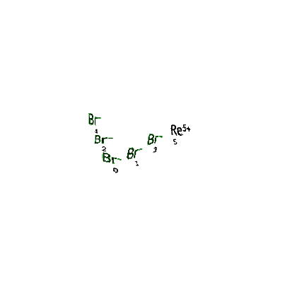 [Br-].[Br-].[Br-].[Br-].[Br-].[Re+5]